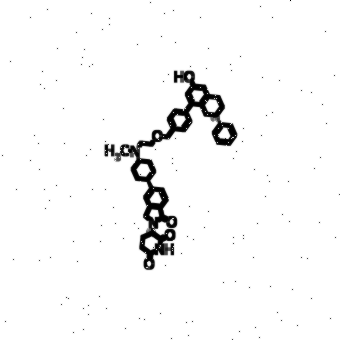 CN(CCOCc1ccc(-c2cc(O)cc3c2C[C@@H](c2ccccc2)CC3)cc1)[C@H]1CC[C@H](c2ccc3c(c2)CN([C@H]2CCC(=O)NC2=O)C3=O)CC1